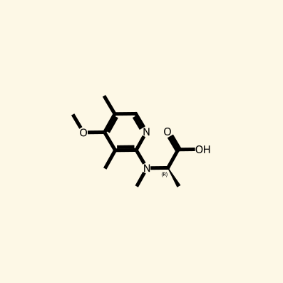 COc1c(C)cnc(N(C)[C@H](C)C(=O)O)c1C